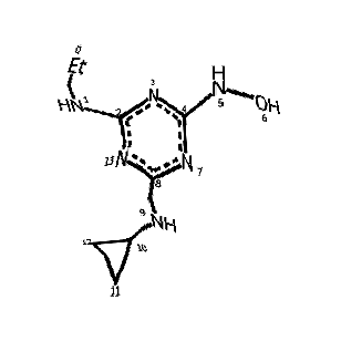 CCNc1nc(NO)nc(NC2CC2)n1